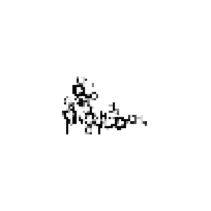 CCCC(O)C(CNCc1ccc(C)cc1C)NC(=O)CNC(=O)c1cc(C(F)(F)F)ccc1NC(=O)N1CCNCC1